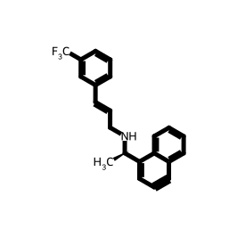 C[C@@H](NC/C=C/c1cccc(C(F)(F)F)c1)c1cc#cc2ccccc12